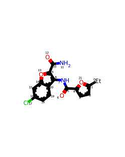 CCc1ccc(C(=O)Nc2c(C(N)=O)oc3cc(Cl)ccc23)o1